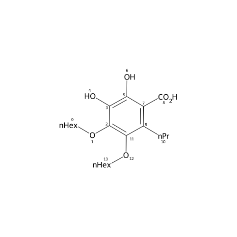 CCCCCCOc1c(O)c(O)c(C(=O)O)c(CCC)c1OCCCCCC